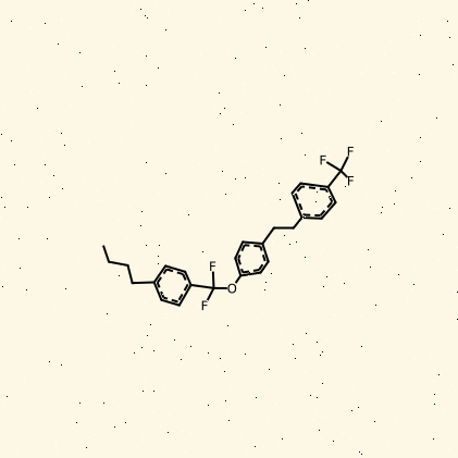 CCCCc1ccc(C(F)(F)Oc2ccc(CCc3ccc(C(F)(F)F)cc3)cc2)cc1